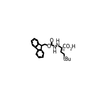 CC(C)(C)CC[C@H](NNC(=O)OCC1c2ccccc2-c2ccccc21)C(=O)O